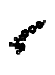 CCc1nc2c(Cl)cccn2c1C(=O)NCc1ccc(N2CCC(c3ccc(F)cc3)CC2)cc1